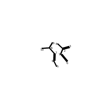 C=CC(=C)C.CC=CC(C)C